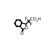 O=C1OC(C(F)(F)C(=O)O)c2ccccc21